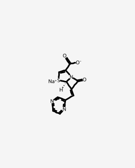 O=C([O-])C1=CS[C@@H]2C(=Cc3cnccn3)C(=O)N12.[Na+]